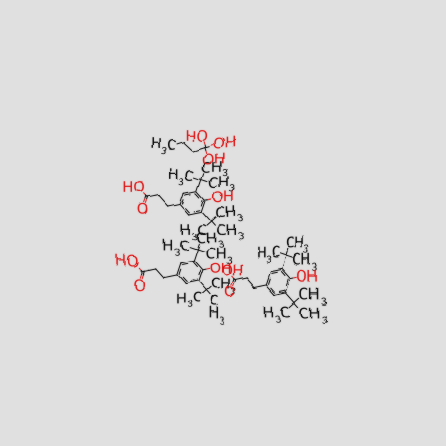 CC(C)(C)c1cc(CCC(=O)O)cc(C(C)(C)C)c1O.CC(C)(C)c1cc(CCC(=O)O)cc(C(C)(C)C)c1O.CC(C)(C)c1cc(CCC(=O)O)cc(C(C)(C)C)c1O.CCCC(O)(O)O